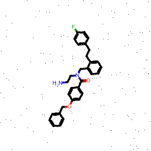 NCCN(Cc1ccccc1CCc1ccc(F)cc1)C(=O)c1ccc(OCc2ccccc2)cc1